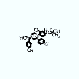 CC(C)(O)COc1ccc(N2CCN([C@H](CO)c3ccc(C#N)cc3)C[C@H]2c2ccc(Cl)cc2)c(Cl)c1